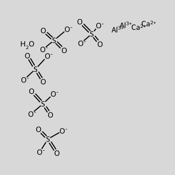 O.O=S(=O)([O-])[O-].O=S(=O)([O-])[O-].O=S(=O)([O-])[O-].O=S(=O)([O-])[O-].O=S(=O)([O-])[O-].[Al+3].[Al+3].[Ca+2].[Ca+2]